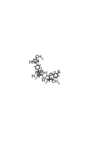 Cc1c[nH]c(-c2ccc(S(=O)(=O)N(N)[C@H]3CC[C@H](C(=O)N(N)[C@H](C)c4ccc(F)cc4)CC3)cc2)n1